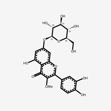 COc1c(-c2ccc(O)c(O)c2)oc2cc(O[C@@H]3O[C@H](CO)[C@@H](O)[C@H](O)[C@H]3O)cc(O)c2c1=O